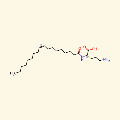 CCCCCCCC/C=C\CCCCCCCC(=O)N[C@@H](CCCN)C(=O)O